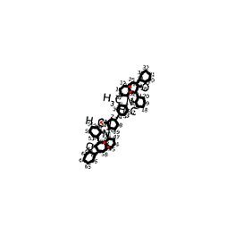 Cc1cc(-c2ccc(N(c3ccccc3)c3c(C)cccc3-c3cccc4c3oc3ccccc34)c(C)c2)ccc1N(c1ccccc1)c1c(C)cccc1-c1cccc2c1oc1ccccc12